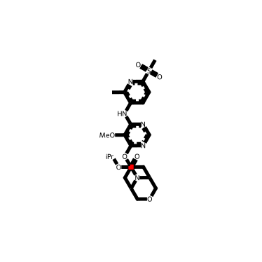 COc1c(Nc2ccc(S(C)(=O)=O)nc2C)ncnc1OC1CC2COCC(C1)N2C(=O)OC(C)C